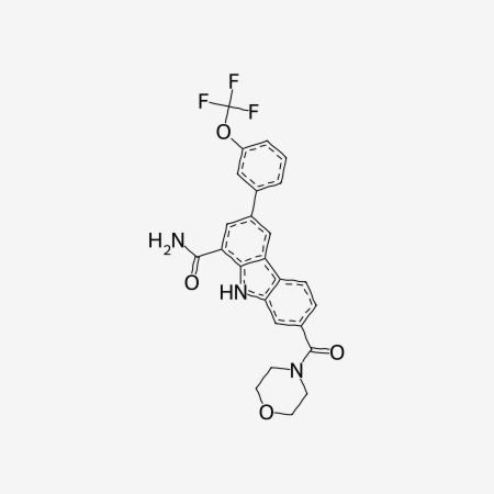 NC(=O)c1cc(-c2cccc(OC(F)(F)F)c2)cc2c1[nH]c1cc(C(=O)N3CCOCC3)ccc12